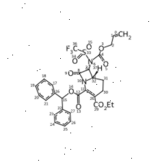 C=CCOC(=O)N([C@@H]1C(=O)N2C(C(=O)OC(c3ccccc3)c3ccccc3)=C(C(=O)OCC)CC[C@@H]12)S(=O)(=O)C(F)(F)F